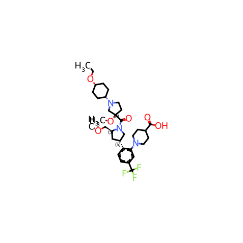 CCO[C@H]1CC[C@H](N2CC[C@](OC)(C(=O)N3C[C@H](c4ccc(C(F)(F)F)cc4N4CCC(C(=O)O)CC4)C[C@H]3COC)C2)CC1